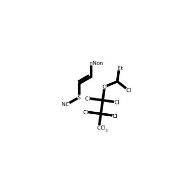 CCC(Cl)OC(Cl)(Cl)C(Cl)(Cl)C(Cl)(Cl)Cl.CCCCCCCCCC=CSC#N